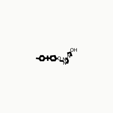 Cc1ccc(C(C)(C)c2ccc(OCc3nccc(N4CC(O)C4)n3)cc2)cc1